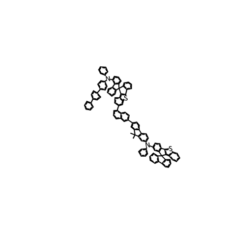 CC1(C)c2cc(-c3ccc4c(-c5ccc6c7c(sc6c5)-c5ccccc5C75c6ccccc6-c6c(N(c7ccccc7)c7ccc(-c8ccc(-c9ccccc9)cc8)cc7)cccc65)cccc4c3)ccc2-c2ccc(N(c3ccccc3)c3ccc4c(c3)C3(c5ccccc5-c5ccccc53)c3c-4sc4ccccc34)cc21